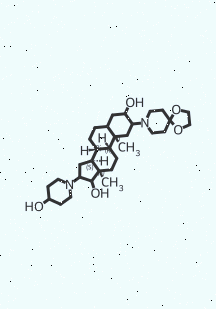 C[C@]12CC(N3CCC4(CC3)OCCO4)C(O)CC1CC[C@@H]1[C@H]2CC[C@]2(C)C(O)C(N3CCC(O)CC3)C[C@@H]12